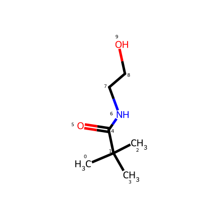 CC(C)(C)C(=O)NCCO